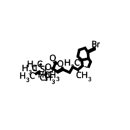 C[C@H](CCC1=C[C@@](C)(O[Si](C)(C)C(C)(C)C)C(=O)O1)[C@H]1CCC2/C(=C/Br)CCC[C@@]21C